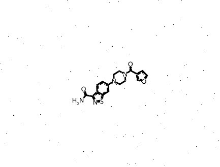 NC(=O)c1nsc2cc(N3CCN(C(=O)c4ccoc4)CC3)ccc12